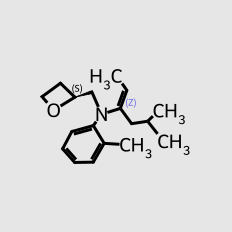 C/C=C(/CC(C)C)N(C[C@@H]1CCO1)c1ccccc1C